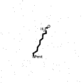 CCCCCCCCCCCCC[PH2]=O